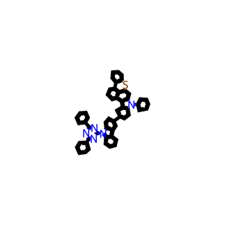 c1ccc(-c2nc(-c3ccccc3)nc(-n3c4ccccc4c4cc(-c5ccc6c(c5)c5c7cccc8c7c(cc5n6-c5ccccc5)Sc5ccccc5-8)ccc43)n2)cc1